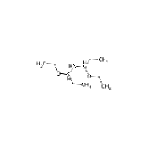 CCO[SiH](CC)N[SiH](CC)OCC